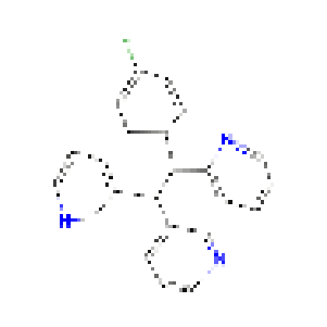 Fc1ccc(C(c2ccccn2)C(c2cccnc2)c2cccnc2)cc1